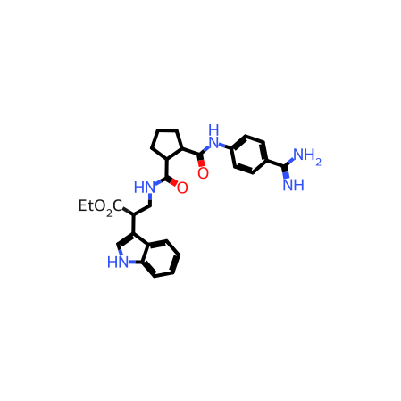 CCOC(=O)C(CNC(=O)C1CCCC1C(=O)Nc1ccc(C(=N)N)cc1)c1c[nH]c2ccccc12